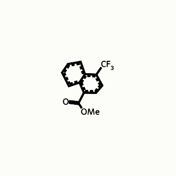 COC(=O)c1ccc(C(F)(F)F)c2ccccc12